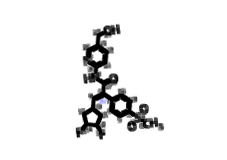 CS(=O)(=O)c1ccc(/C(=C\C2CC(F)C(F)C2)C(=O)Nc2ccc(CO)cn2)cc1